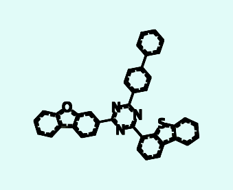 c1ccc(-c2ccc(-c3nc(-c4ccc5c(c4)oc4ccccc45)nc(-c4cccc5c4sc4ccccc45)n3)cc2)cc1